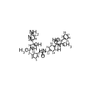 CC(Cc1cccc(CC(=O)NCc2ccc(C(=O)N[C@H](C)[C@H](O)c3ccccc3)cc2)c1)NC[C@@H](O)c1ccc(N)nc1